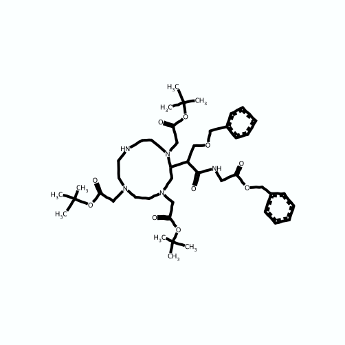 CC(C)(C)OC(=O)CN1CCNCCN(CC(=O)OC(C)(C)C)C(C(COCc2ccccc2)C(=O)NCC(=O)OCc2ccccc2)CN(CC(=O)OC(C)(C)C)CC1